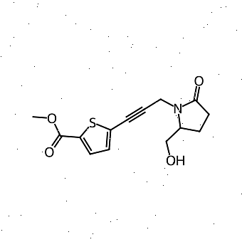 COC(=O)c1ccc(C#CCN2C(=O)CCC2CO)s1